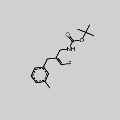 Cc1cccc(CC(=CF)CNC(=O)OC(C)(C)C)c1